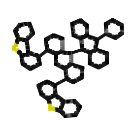 c1ccc(-c2c3ccccc3c(-c3c4cccc(-c5cccc6sc7ccccc7c56)c4cc4c(-c5cccc6sc7ccccc7c56)cccc34)c3ccccc23)cc1